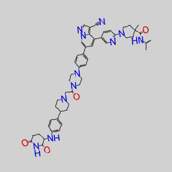 CC(C)NC(=O)C1(C)CCN(c2ccc(-c3cc(-c4ccc(N5CCN(C(=O)CN6CCC(c7ccc(NC8CCC(=O)NC8=O)cc7)CC6)CC5)cc4)cn4ncc(C#N)c34)cn2)CC1